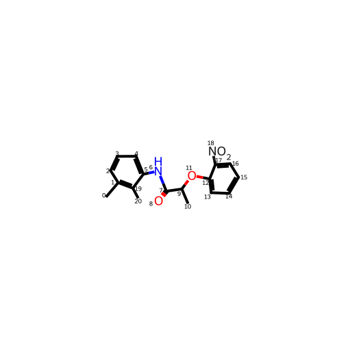 Cc1cccc(NC(=O)C(C)Oc2ccccc2[N+](=O)[O-])c1C